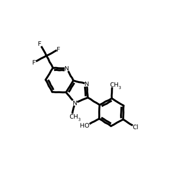 Cc1cc(Cl)cc(O)c1-c1nc2nc(C(F)(F)F)ccc2n1C